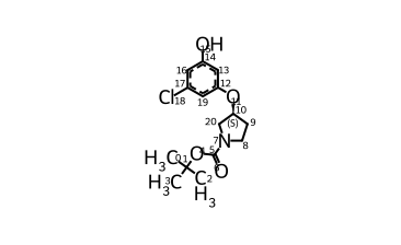 CC(C)(C)OC(=O)N1CC[C@H](Oc2cc(O)cc(Cl)c2)C1